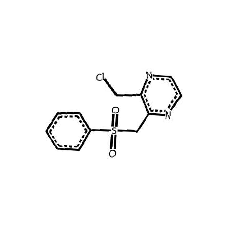 O=S(=O)(Cc1nccnc1CCl)c1ccccc1